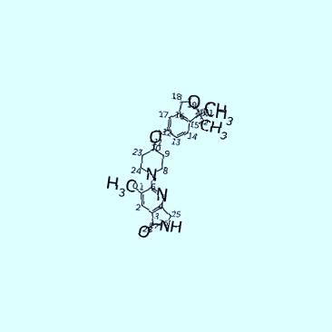 Cc1cc2c(nc1N1CCC(Oc3ccc4c(c3)COC4(C)C)CC1)CNC2=O